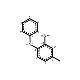 Cc1ccc(Nc2ccccc2)c([NH])c1